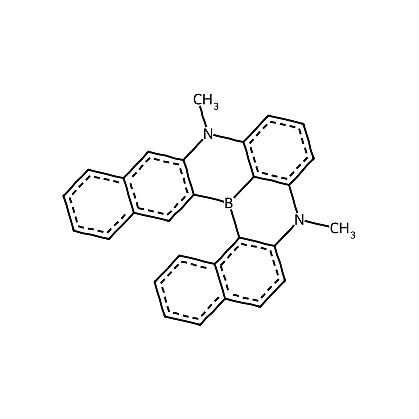 CN1c2cc3ccccc3cc2B2c3c1cccc3N(C)c1ccc3ccccc3c12